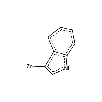 [Zn][c]1c[nH]c2ccccc12